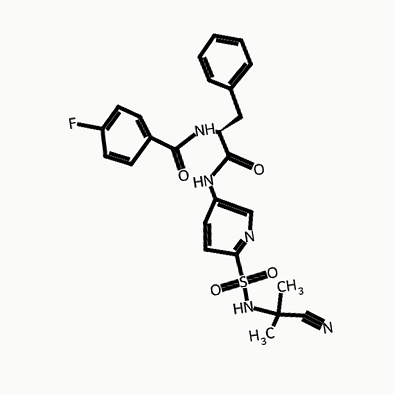 CC(C)(C#N)NS(=O)(=O)c1ccc(NC(=O)[C@H](Cc2ccccc2)NC(=O)c2ccc(F)cc2)cn1